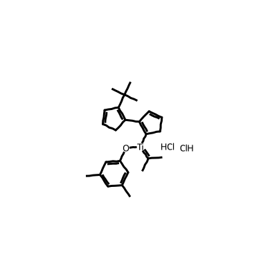 C[C](C)=[Ti]([O]c1cc(C)cc(C)c1)[C]1=C(C2=C(C(C)(C)C)C=CC2)C=CC1.Cl.Cl